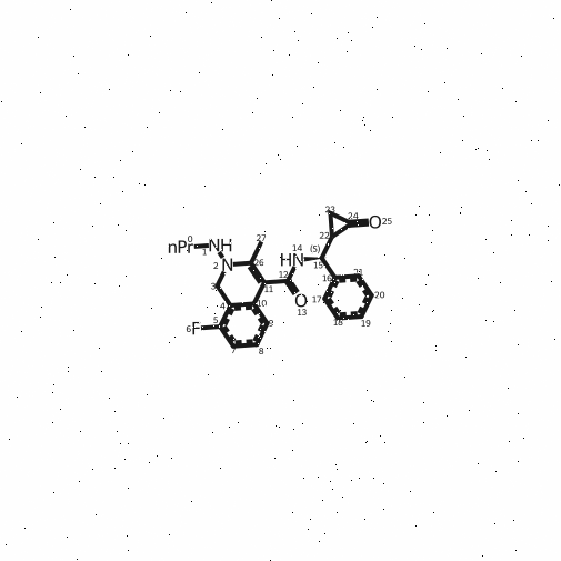 CCCNN1Cc2c(F)cccc2C(C(=O)N[C@H](c2ccccc2)C2CC2=O)=C1C